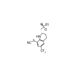 CCS(=O)(=O)C[C@@H]1CCc2cc(C(F)(F)F)cc(SC#N)c2N1